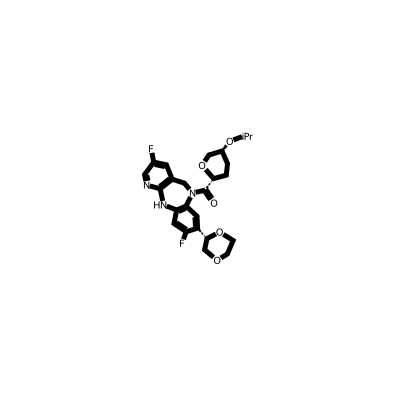 CC(C)O[C@H]1CC[C@H](C(=O)N2Cc3cc(F)cnc3Nc3cc(F)c([C@H]4COCCO4)cc32)OC1